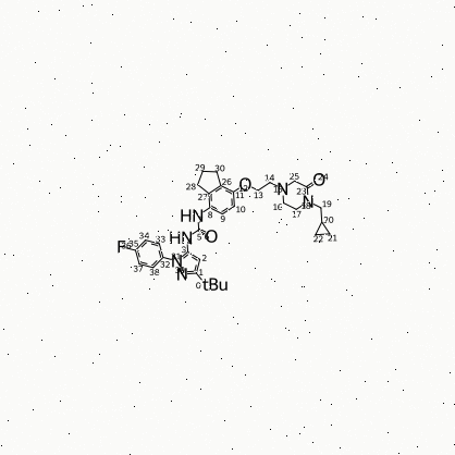 CC(C)(C)c1cc(NC(=O)Nc2ccc(OCCN3CCN(CC4CC4)C(=O)C3)c3c2CCC3)n(-c2ccc(F)cc2)n1